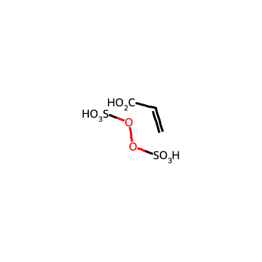 C=CC(=O)O.O=S(=O)(O)OOS(=O)(=O)O